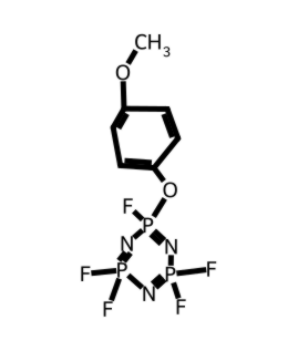 COc1ccc(OP2(F)=NP(F)(F)=NP(F)(F)=N2)cc1